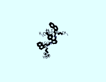 CCCC[N+]1=C(/C=C/C2=C(c3ccc(C(C)=O)cc3)C(=C/C=C3/N(CCCS(=O)(=O)O)c4ccc5ccccc5c4C3(C)C)/CCC2)C(C)(C)c2c1ccc1ccccc21